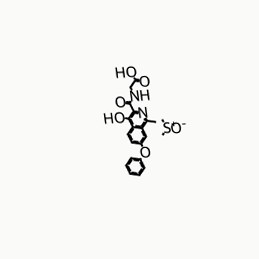 C[S+](C)[O-].Cc1nc(C(=O)NCC(=O)O)c(O)c2ccc(Oc3ccccc3)cc12